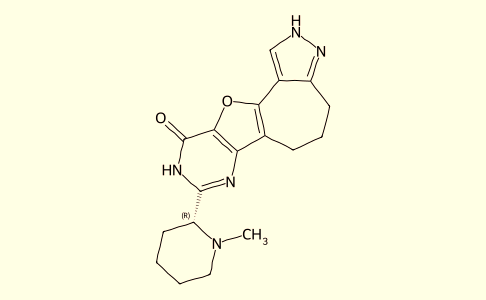 CN1CCCC[C@@H]1c1nc2c3c(oc2c(=O)[nH]1)-c1c[nH]nc1CCC3